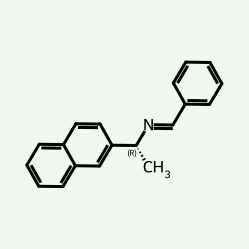 C[C@@H](N=Cc1ccccc1)c1ccc2ccccc2c1